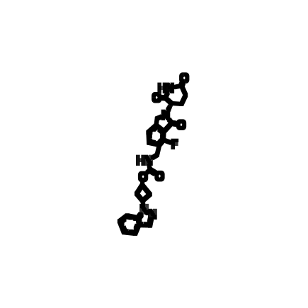 O=C1CC[C@@H](N2Cc3ccc(CNC(=O)OC4CC(n5ncc6ccccc65)C4)c(F)c3C2=O)C(=O)N1